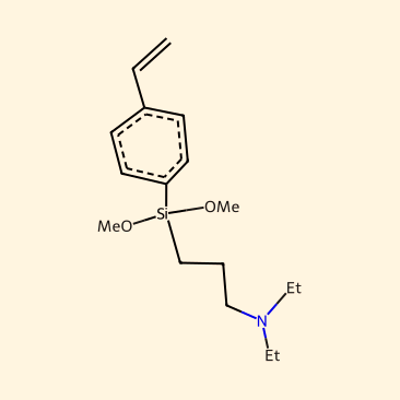 C=Cc1ccc([Si](CCCN(CC)CC)(OC)OC)cc1